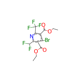 CCOC(=O)c1c(C(F)F)nc(C(F)(F)F)c(C(=O)OCC)c1Br